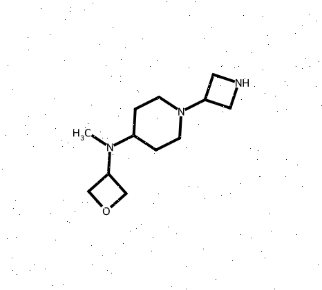 CN(C1CCN(C2CNC2)CC1)C1COC1